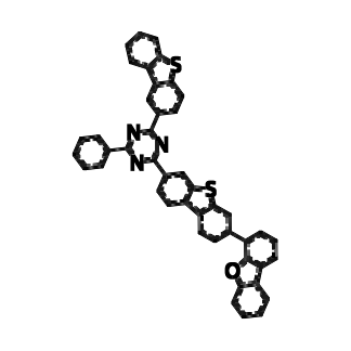 c1ccc(-c2nc(-c3ccc4c(c3)sc3cc(-c5cccc6c5oc5ccccc56)ccc34)nc(-c3ccc4sc5ccccc5c4c3)n2)cc1